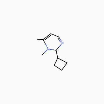 CC1=CC=NC(C2CCC2)N1C